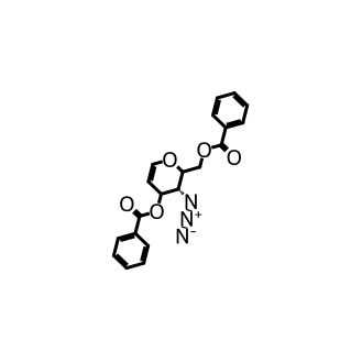 [N-]=[N+]=N[C@@H]1C(OC(=O)c2ccccc2)C=COC1COC(=O)c1ccccc1